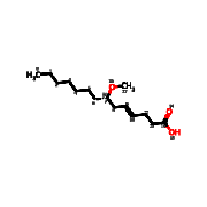 CCCCCCC[C@@H](CC=CCCC(=O)O)OC